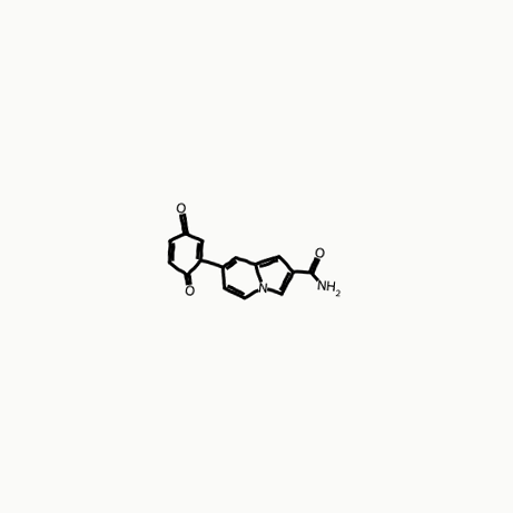 NC(=O)c1cc2cc(C3=CC(=O)C=CC3=O)ccn2c1